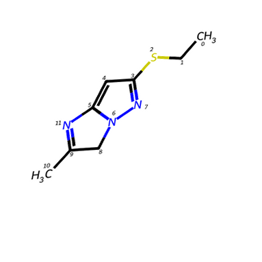 CCSc1cc2n(n1)CC(C)=N2